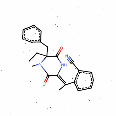 CCC1(Cc2ccccc2)C(=O)NC(=C(C)c2ccccc2C#N)C(=O)N1C